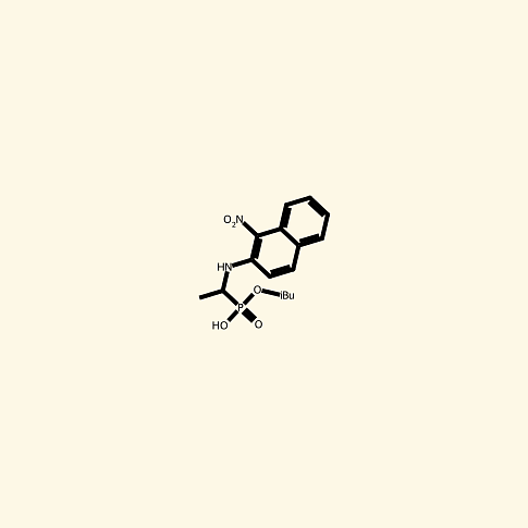 CCC(C)OP(=O)(O)C(C)Nc1ccc2ccccc2c1[N+](=O)[O-]